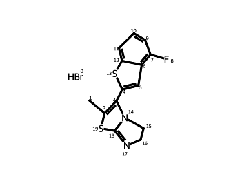 Br.CC1=C(c2cc3c(F)cccc3s2)N2CCN=C2S1